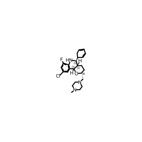 CN1CCN(C[C@H]2CC[C@@H]3[C@H](O2)c2cc(Cl)cc(F)c2N[C@H]3C2C=CC=CC2)CC1